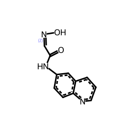 O=C(/C=N\O)Nc1ccc2ncccc2c1